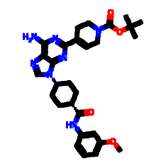 COc1cccc(NC(=O)[C@H]2CC[C@@H](n3cnc4c(N)nc(C5=CCN(C(=O)OC(C)(C)C)CC5)nc43)CC2)c1